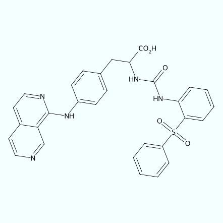 O=C(Nc1ccccc1S(=O)(=O)c1ccccc1)NC(Cc1ccc(Nc2nccc3ccncc23)cc1)C(=O)O